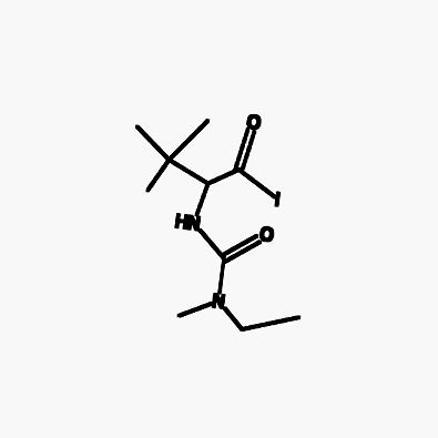 CCN(C)C(=O)NC(C(=O)I)C(C)(C)C